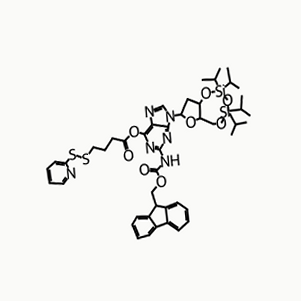 CC(C)[Si]1(C(C)C)OCC2OC(n3cnc4c(OC(=O)CCCSSc5ccccn5)nc(NC(=O)OCC5c6ccccc6-c6ccccc65)nc43)CC2O[Si](C(C)C)(C(C)C)O1